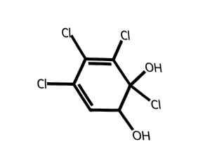 OC1C=C(Cl)C(Cl)=C(Cl)C1(O)Cl